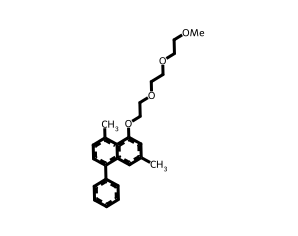 COCCOCCOCCOc1cc(C)cc2c(-c3ccccc3)ccc(C)c12